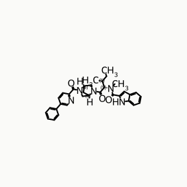 CC[C@H](C)[C@@H](C(=O)N1C[C@@H]2C[C@H]1CN2C(=O)c1ccc(-c2ccccc2)cn1)N(C)C(=O)c1cc2ccccc2[nH]1